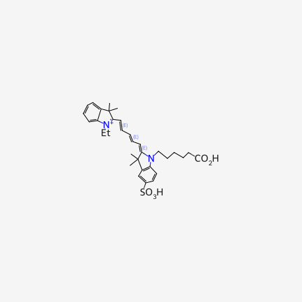 CC[N+]1=C(/C=C/C=C/C=C2/N(CCCCCC(=O)O)c3ccc(S(=O)(=O)O)cc3C2(C)C)C(C)(C)c2ccccc21